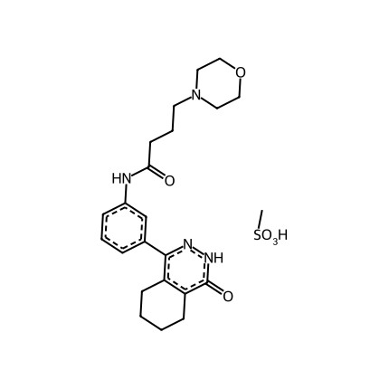 CS(=O)(=O)O.O=C(CCCN1CCOCC1)Nc1cccc(-c2n[nH]c(=O)c3c2CCCC3)c1